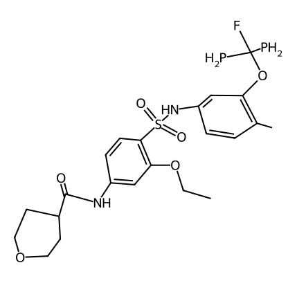 CCOc1cc(NC(=O)C2CCOCC2)ccc1S(=O)(=O)Nc1ccc(C)c(OC(F)(P)P)c1